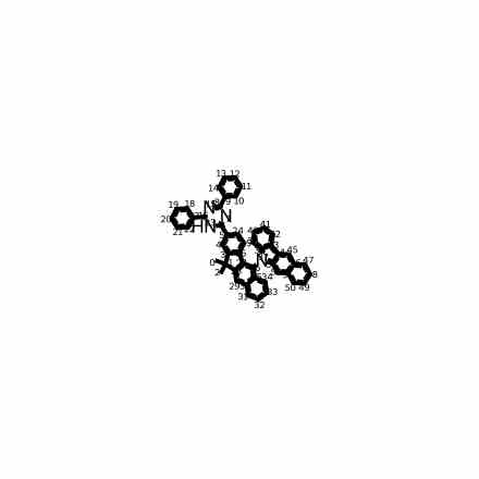 CC1(C)c2cc(C3=NC(c4ccccc4)=NC(c4ccccc4)N3)ccc2-c2c1cc1ccccc1c2-n1c2ccccc2c2cc3ccccc3cc21